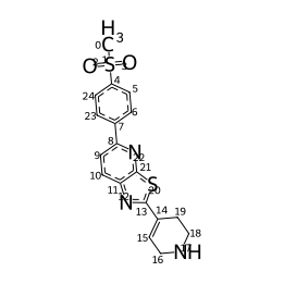 CS(=O)(=O)c1ccc(-c2ccc3nc(C4=CCNCC4)sc3n2)cc1